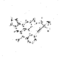 CN(c1cccc(C#CC(C)(O)C(F)F)c1)c1nc2nncn2c2cc(Cl)ccc12